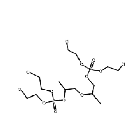 CC(COP(=O)(OCCCl)OCCCl)OCC(C)OP(=O)(OCCCl)OCCCl